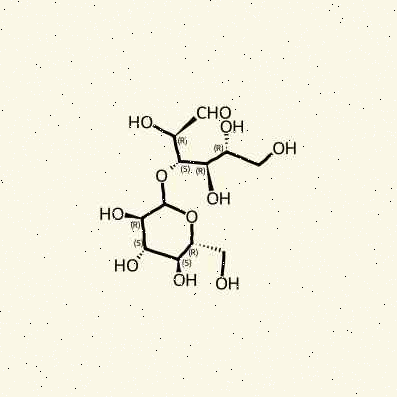 O=C[C@H](O)[C@@H](OC1O[C@H](CO)[C@@H](O)[C@H](O)[C@H]1O)[C@H](O)[C@H](O)CO